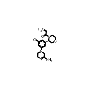 C=CC(=O)N1CCOC[C@H]1c1cc(Cl)cc(N2CCN=C(N)C2)c1